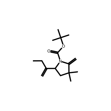 C=C(CC)C1CC(C)(C)C(=C)N1C(=O)OC(C)(C)C